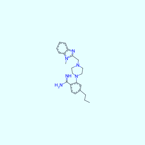 CCCc1ccc(C(=N)N)c(N2CCN(Cc3nc4ccccc4n3C)CC2)c1